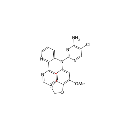 COc1cc(N(c2ncc(Cl)c(N)n2)c2cccnc2-c2ccccn2)cc2c1OCO2